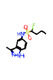 CCCC(F)S(=O)(=O)Nc1ccc2[nH]nc(C)c2c1